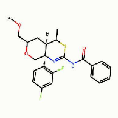 CC(C)OC[C@H]1C[C@H]2[C@@H](C)SC(NC(=O)c3ccccc3)=N[C@@]2(c2ccc(F)cc2F)CO1